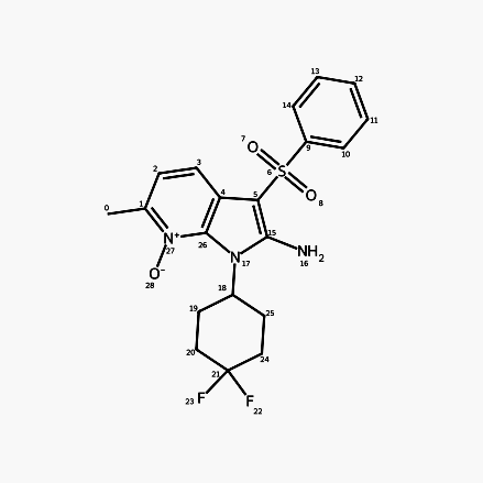 Cc1ccc2c(S(=O)(=O)c3ccccc3)c(N)n(C3CCC(F)(F)CC3)c2[n+]1[O-]